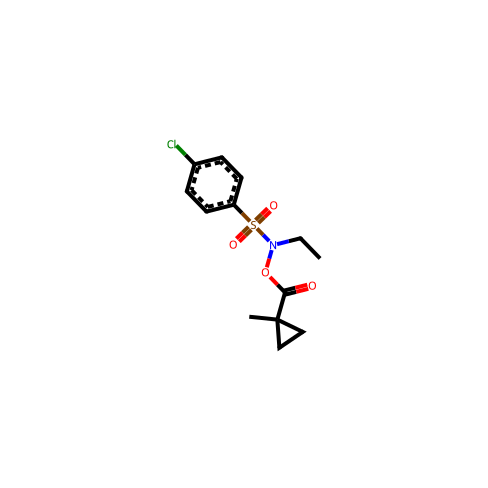 CCN(OC(=O)C1(C)CC1)S(=O)(=O)c1ccc(Cl)cc1